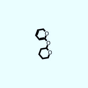 C1=CCOC(OC2CCCCO2)=C1